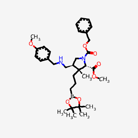 COC(=O)[C@H]1N(C(=O)OCc2ccccc2)C[C@H](CNCc2ccc(OC)cc2)[C@@]1(C)CCCB1OC(C)(C)C(C)(C)O1